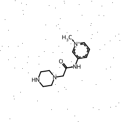 C[n+]1cccc(NC(=O)CN2CCNCC2)c1